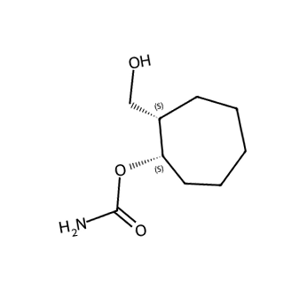 NC(=O)O[C@H]1CCCCC[C@H]1CO